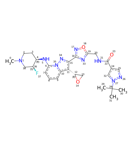 CN1CC[C@@H](Nc2cccc3c([C@@H]4CO4)c(-c4noc(CNC(=O)c5cnn(C(C)(C)C)c5)n4)nn23)[C@@H](F)C1